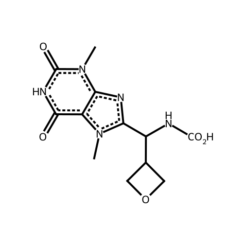 Cn1c(C(NC(=O)O)C2COC2)nc2c1c(=O)[nH]c(=O)n2C